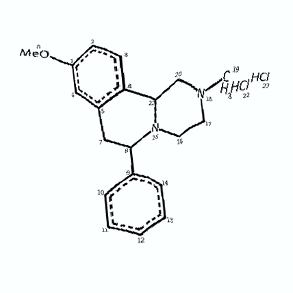 COc1ccc2c(c1)CC(c1ccccc1)N1CCN(C)CC21.Cl.Cl